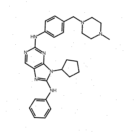 CN1CCN(Cc2ccc(Nc3ncc4nc(Nc5ccccc5)n(C5CCCC5)c4n3)cc2)CC1